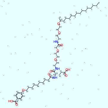 CCCCCCCCCCCCCC[C](C)OCCOCCNC(=O)COCCOCCNC(=O)[C@H](CCC(=O)O)NC(=O)CCCCCCCCCOc1ccc(C(=O)O)cc1